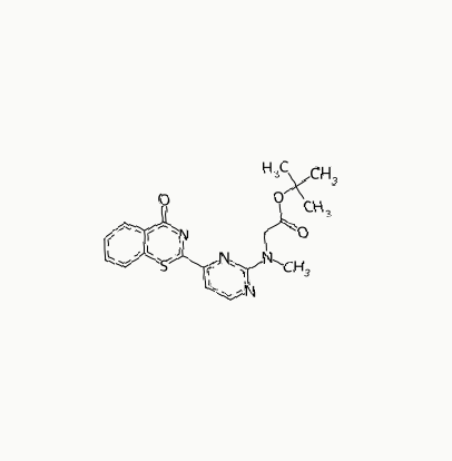 CN(CC(=O)OC(C)(C)C)c1nccc(-c2nc(=O)c3ccccc3s2)n1